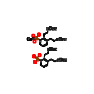 CCCCCCCCCCCCc1cccc(S(=O)(=O)[O-])c1CCCCCCCCCCCC.CCCCCCCCCCCCc1cccc(S(=O)(=O)[O-])c1CCCCCCCCCCCC.[Ca+2]